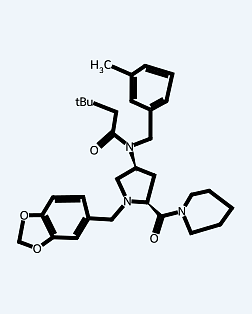 Cc1cccc(CN(C(=O)CC(C)(C)C)[C@H]2C[C@@H](C(=O)N3CCCCC3)N(Cc3ccc4c(c3)OCO4)C2)c1